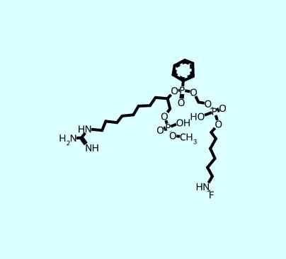 COP(=O)(O)OCC(CCCCCCCCNC(=N)N)OP(=O)(OCOP(=O)(O)OCCCCCCNF)c1ccccc1